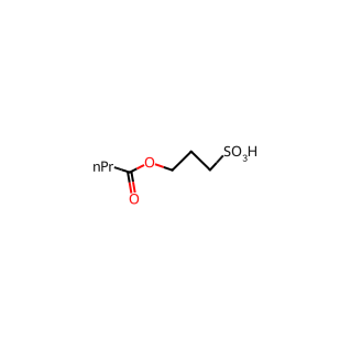 CCCC(=O)OCCCS(=O)(=O)O